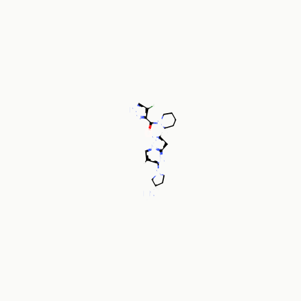 Cc1cn2nc([C@@H]3CCCCN3C(=O)c3n[nH]cc3Cl)cc2nc1N1CC[C@H](N)C1